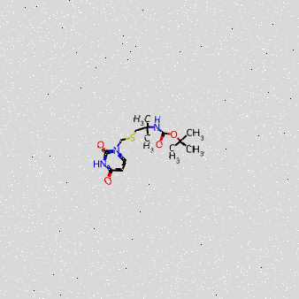 CC(C)(CSCn1ccc(=O)[nH]c1=O)NC(=O)OC(C)(C)C